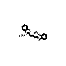 CCCN1C(=CC=Cc2sc3ccccc3[n+]2CCC)Sc2ccccc21.[I-]